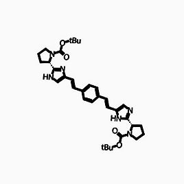 CC(C)(C)OC(=O)N1CCC[C@H]1c1nc(/C=C/c2ccc(/C=C/c3cnc([C@@H]4CCCN4C(=O)OC(C)(C)C)[nH]3)cc2)c[nH]1